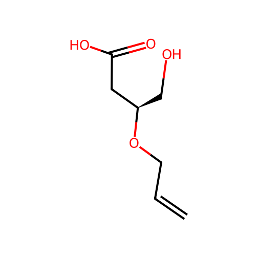 C=CCO[C@H](CO)CC(=O)O